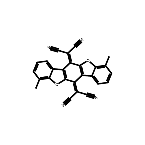 Cc1cccc2c1oc1c(=C(C#N)C#N)c3c(oc4c(C)cccc43)c(=C(C#N)C#N)c12